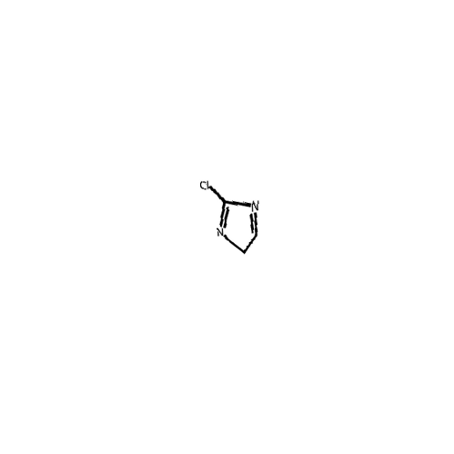 ClC1=NCC=N1